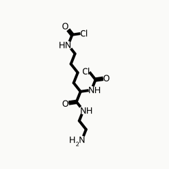 NCCNC(=O)C(CCCCNC(=O)Cl)NC(=O)Cl